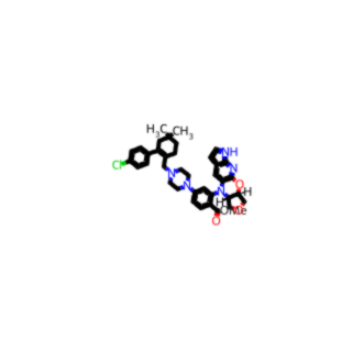 COC(=O)c1ccc(N2CCN(CC3=C(c4ccc(Cl)cc4)CC(C)(C)CC3)CC2)cc1N1c2cc3cc[nH]c3nc2O[C@H]2COC[C@@H]21